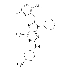 Nc1ccc(I)cc1Cc1nc2c(N)nc(NC3CCC(N)CC3)nc2n1C1CCCCC1